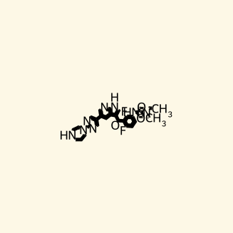 CCN(C)S(=O)(=O)Nc1ccc(F)c(C(=O)c2c[nH]c3ncc(-c4cnc(N5CCCNCC5)nc4)cc23)c1F